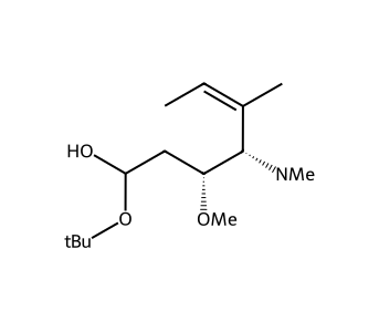 C/C=C(/C)[C@H](NC)[C@@H](CC(O)OC(C)(C)C)OC